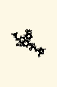 CC(=O)Oc1cccc([C@@]23CCN(CC4CC4)C[C@@]2(OC(C)=O)CC[C@H](NC(=O)C=Cc2ccoc2C)C3)c1